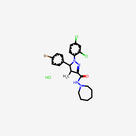 CC1C(C(=O)NN2CCCCCC2)=NN(c2ccc(Cl)cc2Cl)C1c1ccc(Br)cc1.Cl